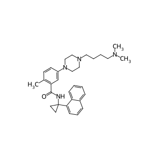 Cc1ccc(N2CCN(CCCCN(C)C)CC2)cc1C(=O)NC1(c2cccc3ccccc23)CC1